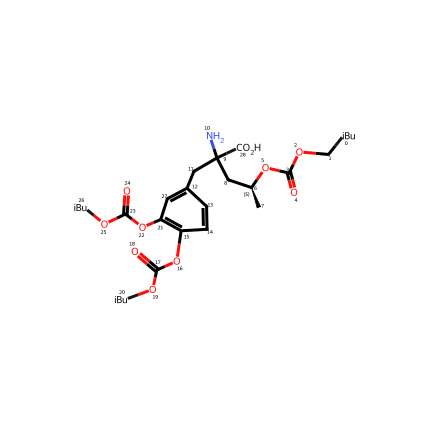 CCC(C)COC(=O)O[C@@H](C)CC(N)(Cc1ccc(OC(=O)OC(C)CC)c(OC(=O)OC(C)CC)c1)C(=O)O